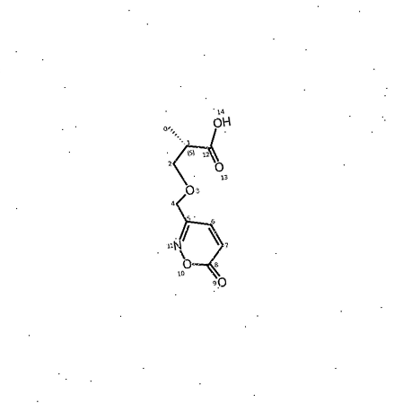 C[C@@H](COCc1ccc(=O)on1)C(=O)O